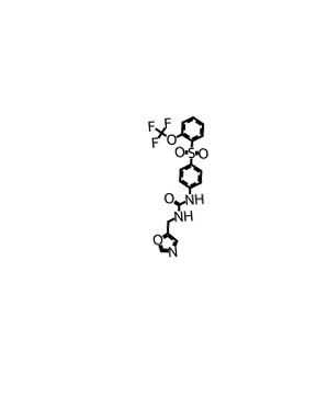 O=C(NCc1cnco1)Nc1ccc(S(=O)(=O)c2ccccc2OC(F)(F)F)cc1